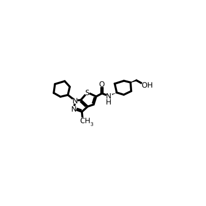 Cc1nn(C2CCCCC2)c2sc(C(=O)N[C@H]3CC[C@H](CO)CC3)cc12